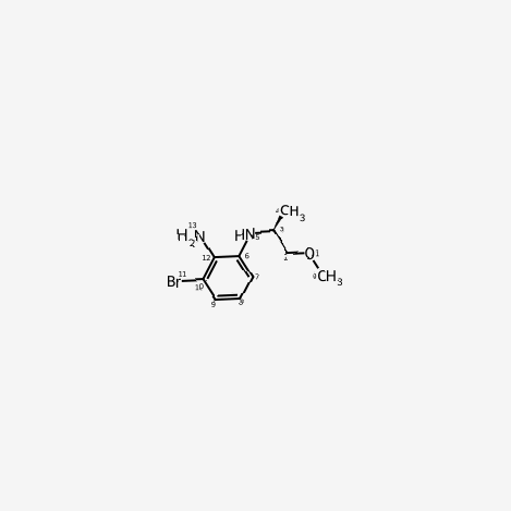 COC[C@H](C)Nc1cccc(Br)c1N